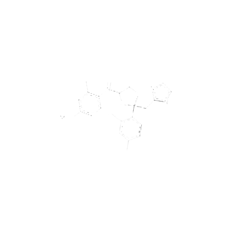 COc1ccc(NC2COC(Cc3ncc[nH]3)(c3ccc(Cl)cc3Cl)O2)c(C)c1